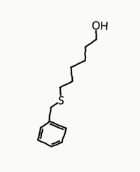 OCCCCCCSCc1ccccc1